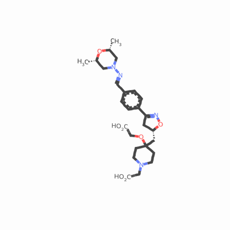 C[C@@H]1CN(N=Cc2ccc(C3=NO[C@H](CC4(OCC(=O)O)CCN(CC(=O)O)CC4)C3)cc2)C[C@H](C)O1